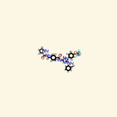 Cc1ccccc1Nc1nc(NC(=O)c2ccc(CNC(=O)[C@@H]3CCCN3)cc2)nn1-c1ccc(OC(F)(F)F)cc1